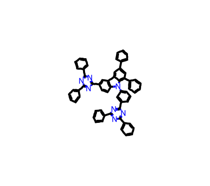 c1ccc(-c2cc(-c3ccccc3)c3c(c2)c2cc(-c4nc(-c5ccccc5)nc(-c5ccccc5)n4)ccc2n3-c2cccc(-c3nc(-c4ccccc4)nc(-c4ccccc4)n3)c2)cc1